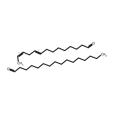 C/C=C\C/C=C/CCCCCCCC=O.CCCCCCCCCCCCCCCC=O